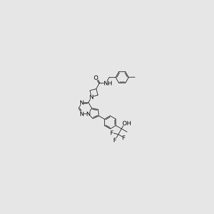 Cc1ccc(CNC(=O)C2CN(c3ncnn4cc(-c5ccc(C(C)(O)C(F)(F)F)cc5)cc34)C2)cc1